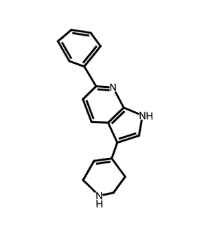 C1=C(c2c[nH]c3nc(-c4ccccc4)ccc23)CCNC1